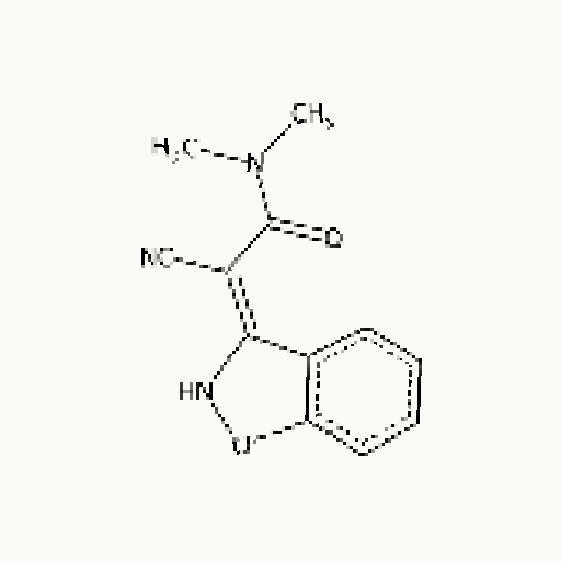 CN(C)C(=O)C(C#N)=C1NOc2ccccc21